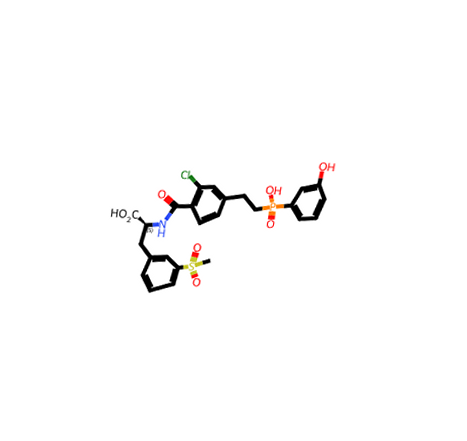 CS(=O)(=O)c1cccc(C[C@H](NC(=O)c2ccc(CCP(=O)(O)c3cccc(O)c3)cc2Cl)C(=O)O)c1